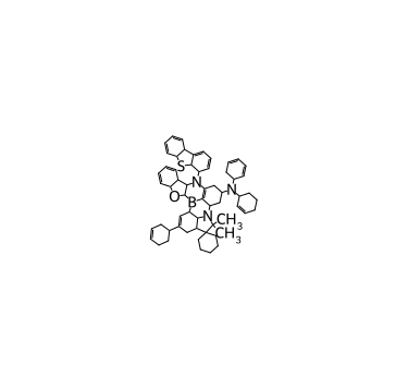 CC1(C)N2C3CC(N(C4C=CC=CC4)C4C=CCCC4)CC4=C3B(C3C=C(C5CC=CCC5)CC(C32)C12CCCCC2)C1OC2C=CC=CC2C1N4C1C=CC=C2C3C=CC=CC3SC21